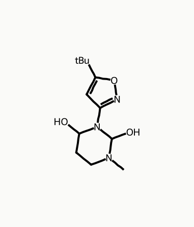 CN1CCC(O)N(c2cc(C(C)(C)C)on2)C1O